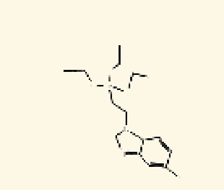 CCO[Si](CCN1CN=C2C=C(C)C=CC21)(OCC)OCC